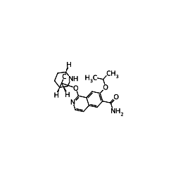 CC(C)Oc1cc2c(O[C@H]3C[C@@H]4CC[C@H]3CN4)nccc2cc1C(N)=O